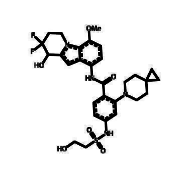 COc1ccc(NC(=O)c2ccc(NS(=O)(=O)CCO)cc2N2CCC3(CC2)CC3)c2cc3n(c12)CCC(F)(F)C3O